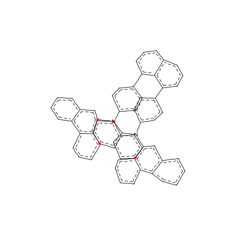 c1ccc(N(c2ccc(-c3cccc4cccc(-c5ccc(N(c6ccccc6)c6cc7ccccc7c7ccccc67)cc5)c34)cc2)c2cc3ccccc3c3ccccc23)cc1